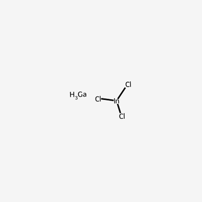 [Cl][In]([Cl])[Cl].[GaH3]